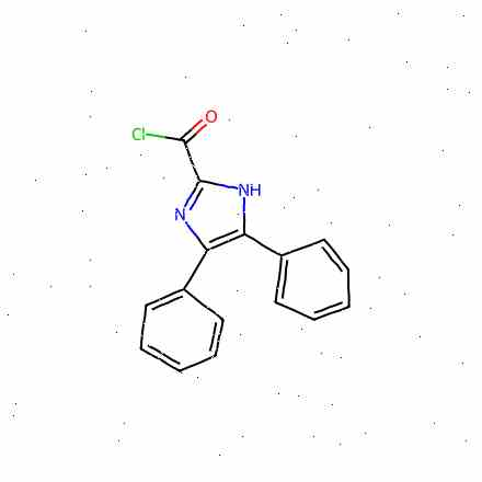 O=C(Cl)c1nc(-c2ccccc2)c(-c2ccccc2)[nH]1